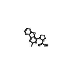 Cc1nc(N2CCC[C@H]2C(=O)O)c2oc3ccccc3c2n1